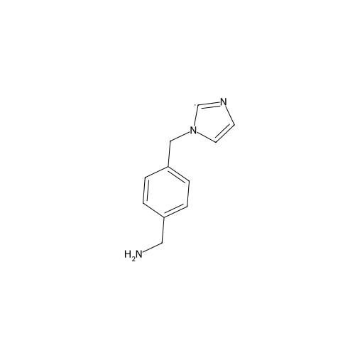 NCc1ccc(Cn2[c]ncc2)cc1